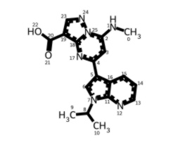 CNc1cc(-c2cn(C(C)C)c3ncccc23)nc2c(C(=O)O)cnn12